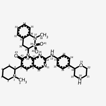 CN1CCCCC1c1cc2cnc(Nc3ccc(C4CNCCO4)cc3)nc2n(C2Cc3ccccc3N(C)S2(=O)=O)c1=O